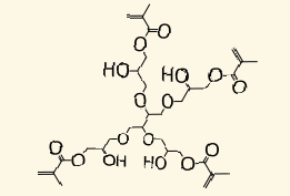 C=C(C)C(=O)OCC(O)COCC(OCC(O)COC(=O)C(=C)C)C(COCC(O)COC(=O)C(=C)C)OCC(O)COC(=O)C(=C)C